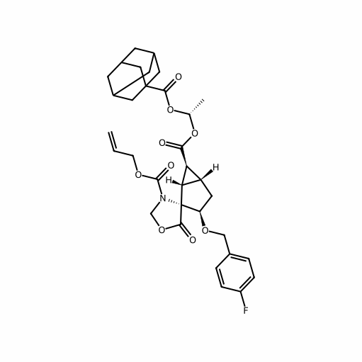 C=CCOC(=O)N1COC(=O)[C@]12[C@H]1[C@@H](C[C@H]2OCc2ccc(F)cc2)[C@@H]1C(=O)O[C@@H](C)OC(=O)C12CC3CC(CC(C3)C1)C2